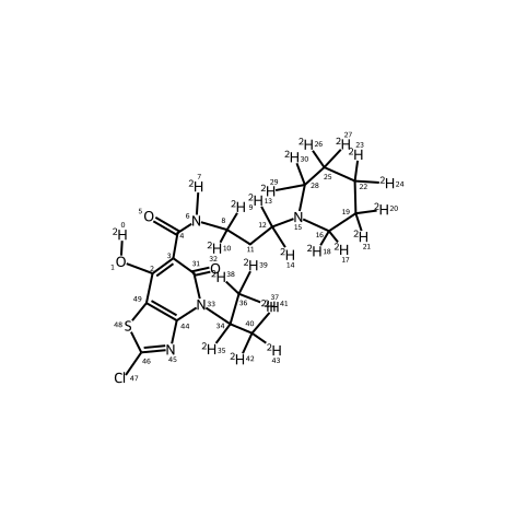 [2H]Oc1c(C(=O)N([2H])C([2H])([2H])CC([2H])([2H])N2C([2H])([2H])C([2H])([2H])C([2H])([2H])C([2H])([2H])C2([2H])[2H])c(=O)n(C([2H])(C([2H])([2H])[2H])C([2H])([2H])[2H])c2nc(Cl)sc12